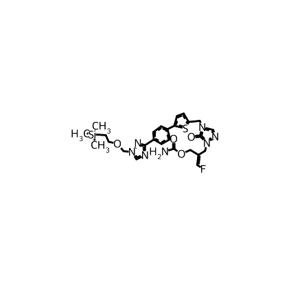 C[Si](C)(C)CCOCn1cnc(-c2ccc(-c3ccc(Cn4cnn(C/C(=C\F)COC(N)=O)c4=O)s3)cc2)n1